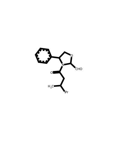 CC(C)C(C)CC(=O)N1C(C=O)OCC1c1ccccc1